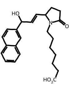 O=C(O)CCCCCCN1C(=O)CCC1C=CC(O)c1ccc2ccccc2c1